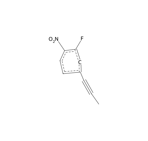 CC#Cc1ccc([N+](=O)[O-])c(F)c1